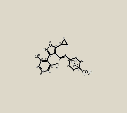 O=C(O)C12CCC(C=Cc3c(-c4c(Cl)cncc4Cl)noc3C3CC3)(CC1)CO2